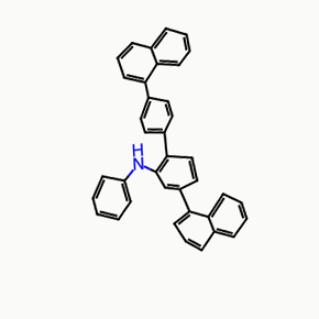 c1ccc(Nc2cc(-c3cccc4ccccc34)ccc2-c2ccc(-c3cccc4ccccc34)cc2)cc1